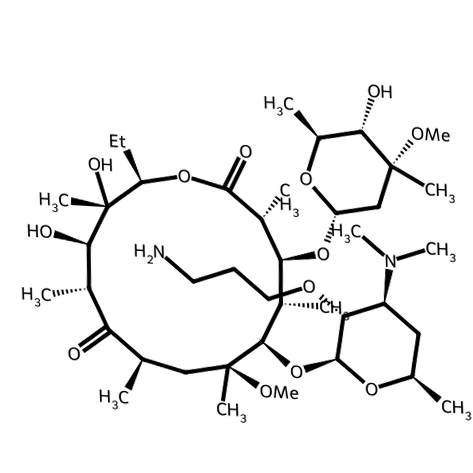 CC[C@H]1OC(=O)[C@H](C)[C@@H](O[C@H]2C[C@@](C)(OC)[C@@H](O)[C@H](C)O2)[C@H](C)[C@@H](O[C@@H]2O[C@H](C)C[C@H](N(C)C)[C@H]2OCCCN)[C@@](C)(OC)C[C@@H](C)C(=O)[C@H](C)[C@@H](O)[C@]1(C)O